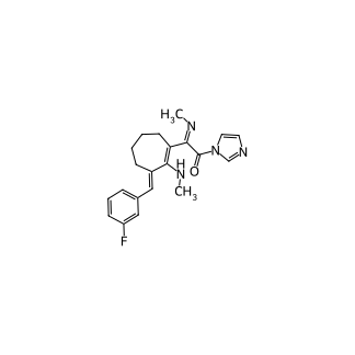 C/N=C(/C(=O)n1ccnc1)C1=C(NC)/C(=C/c2cccc(F)c2)CCCC1